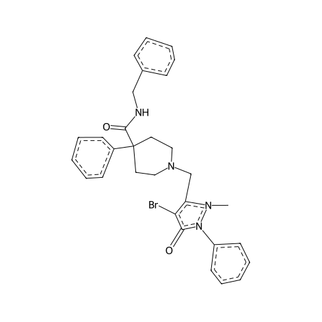 Cn1c(CN2CCC(C(=O)NCc3ccccc3)(c3ccccc3)CC2)c(Br)c(=O)n1-c1ccccc1